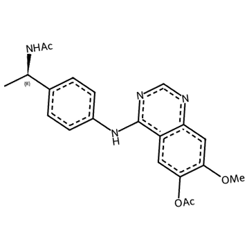 COc1cc2ncnc(Nc3ccc([C@@H](C)NC(C)=O)cc3)c2cc1OC(C)=O